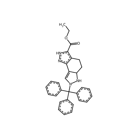 CCOC(=O)c1[nH]nc2c1CCC1NN(C(c3ccccc3)(c3ccccc3)c3ccccc3)C=C21